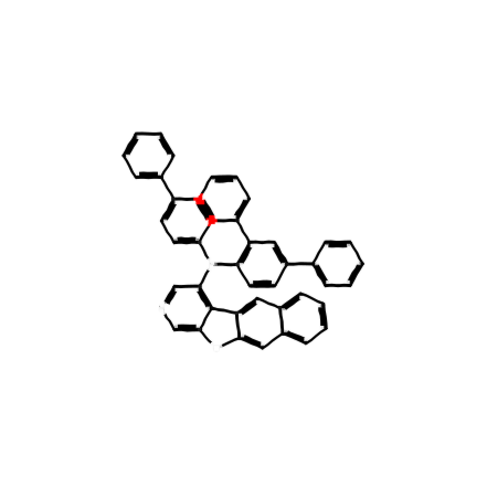 c1ccc(-c2ccc(N(c3ccc(-c4ccccc4)cc3-c3ccccc3)c3cncc4oc5cc6ccccc6cc5c34)cc2)cc1